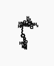 N=C(NCCCCc1ccc(OCC(=O)Nc2ncncn2)cc1)NC(=O)c1nc(Cl)c(N)nc1N